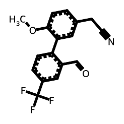 COc1ccc(CC#N)cc1-c1ccc(C(F)(F)F)cc1C=O